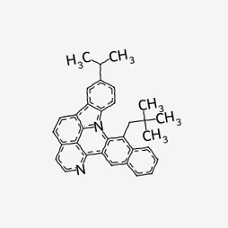 CC(C)c1ccc2c(c1)c1ccc3ccnc4c5cc6ccccc6c(CC(C)(C)C)c5n2c1c34